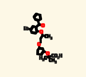 CCc1ccc(OC(C)CCOc2cccc(OC(C)(C)C(=O)O)c2)c(C(=O)c2ccccc2)c1